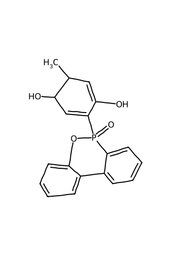 CC1C=C(O)C(P2(=O)Oc3ccccc3-c3ccccc32)=CC1O